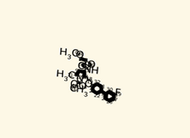 COCCS(=O)(=O)N[C@H]1CC(C)N(C(=O)OC)[C@H]1COC1CCC(c2cccc(F)c2)CC1